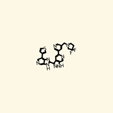 FC1(F)CCN(Cc2cncc(-c3cc4c(-c5nc6c(-c7ccsc7)cncc6[nH]5)n[nH]c4cn3)c2)C1